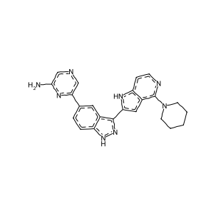 Nc1cncc(-c2ccc3[nH]nc(-c4cc5c(N6CCCCC6)nccc5[nH]4)c3c2)n1